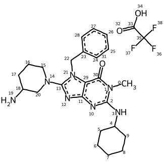 Cn1c(NC2CCCCC2)nc2nc(N3CCCC(N)C3)n(Cc3ccccc3)c2c1=O.O=C(O)C(F)(F)F